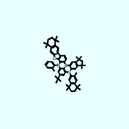 Cc1cc2c(cc1N1c3cc4c(cc3B3c5ccc6c(oc7cc8c(cc76)C(C)(C)CCC8(C)C)c5N(c5ccccc5C)c5cc(C(C)(C)C)cc1c53)C(C)(C)CC4(C)C)C(C)(C)CCC2(C)C